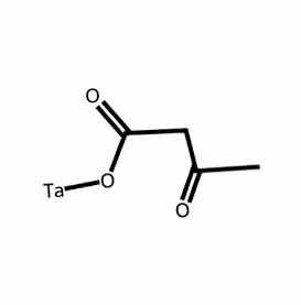 CC(=O)CC(=O)[O][Ta]